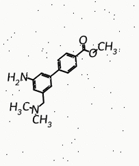 COC(=O)c1ccc(-c2cc(N)cc(CN(C)C)c2)cc1